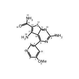 COc1cncc(-c2nc(N)nc3sc(C(N)=O)c(N)c23)c1